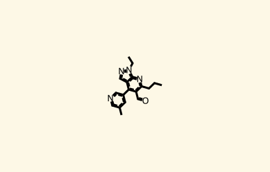 CCCc1nc2c(cnn2CC)c(-c2cncc(C)c2)c1C=O